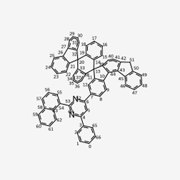 c1ccc(-c2cc(-c3ccc4c(c3)C3(c5ccccc5C5(c6ccccc6-c6ccccc65)c5ccccc53)c3ccc5c(c3-4)-c3ccccc3C5)nc(-c3cccc4ccccc34)n2)cc1